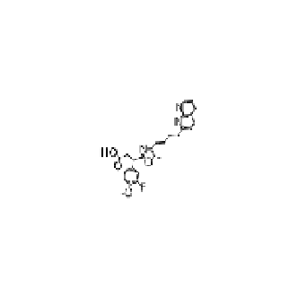 COc1ccc(C(CC(=O)O)c2nc(C=CCCc3ccc4cccnc4n3)c(C)o2)cc1F